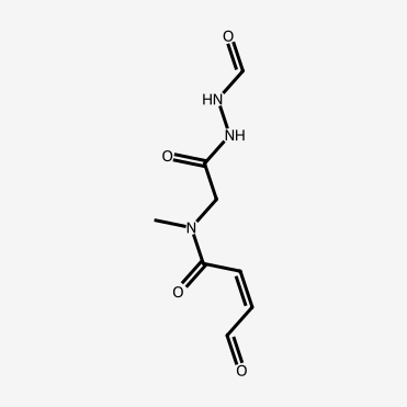 CN(CC(=O)NNC=O)C(=O)/C=C\C=O